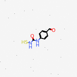 O=Cc1ccc(NC(=O)NS)cc1